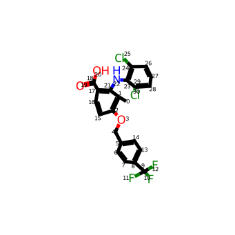 Cc1c(OCc2ccc(C(F)(F)F)cc2)ccc(C(=O)O)c1Nc1c(Cl)cccc1Cl